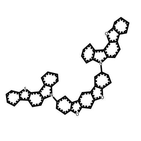 c1ccc2c(c1)oc1c2ccc2c1c1ccccc1n2-c1ccc2oc3cc4oc5ccc(-n6c7ccccc7c7c8sc9ccccc9c8ccc76)cc5c4cc3c2c1